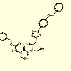 CC(C)C[C@H](NC(=O)[C@H](CC(C)C)NC(=O)OCc1ccccc1)C(=O)Cn1nnc(-c2ccc(OCc3ccccc3)cc2)n1